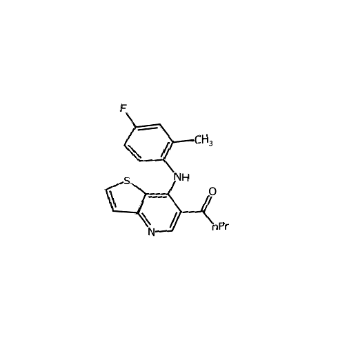 CCCC(=O)c1cnc2ccsc2c1Nc1ccc(F)cc1C